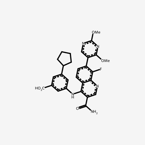 COc1ncc(-c2ccc3c(Nc4cc(C(=O)O)cc(C5CCCC5)c4)c(C(N)=O)cnc3c2F)c(OC)n1